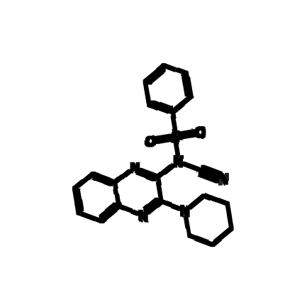 N#CN(c1nc2ccccc2nc1N1CCCCC1)S(=O)(=O)c1ccccc1